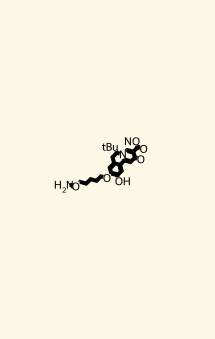 CC(C)(C)C1Cc2cc(OCCCCCON)c(O)cc2-c2cc(=O)c(C(=O)N=O)cn21